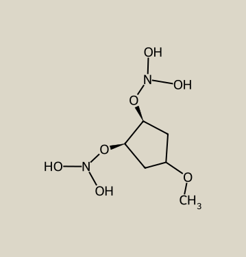 COC1C[C@H](ON(O)O)[C@H](ON(O)O)C1